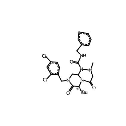 CCC(C)[C@H]1C(=O)N(Cc2ccc(Cl)cc2Cl)CC2N1C(=O)CN(C)N2C(=O)NCc1ccccc1